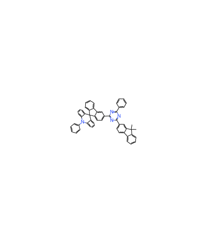 CC1(C)c2ccccc2-c2ccc(-c3nc(-c4ccccc4)nc(-c4ccc5c(c4)-c4ccccc4C54c5ccccc5N(c5ccccc5)c5ccccc54)n3)cc21